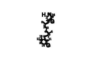 CC(C=CC=C(C)C=CC1=C(C)C(=O)CCC1(C)C)=C[CH]C(=O)[C@H](C)N